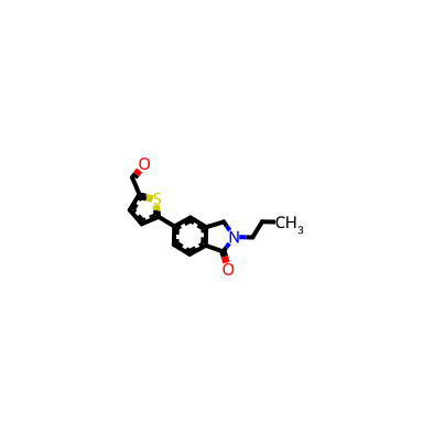 CCCN1Cc2cc(-c3ccc(C=O)s3)ccc2C1=O